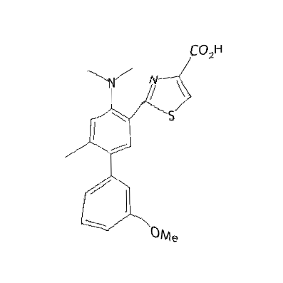 COc1cccc(-c2cc(-c3nc(C(=O)O)cs3)c(N(C)C)cc2C)c1